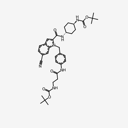 CC(C)(C)OC(=O)NCCC(=O)Nc1ccc(Cn2c(C(=O)N[C@H]3CC[C@H](NC(=O)OC(C)(C)C)CC3)cc3ccc(C#N)cc32)cc1